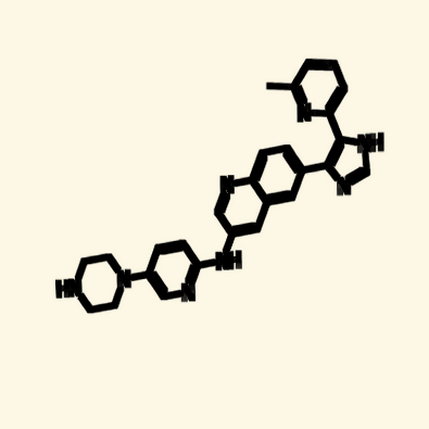 Cc1cccc(-c2[nH]cnc2-c2ccc3ncc(Nc4ccc(N5CCNCC5)cn4)cc3c2)n1